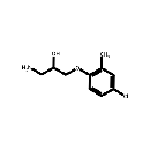 Cc1cc(Cl)ccc1OCC(O)CN